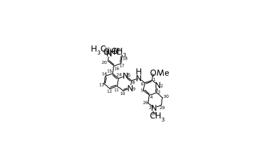 COc1nc2c(cc1Nc1ncc3cccc(C(/C=C\C=O)=C/N(C)C)c3n1)CN(C)CC2